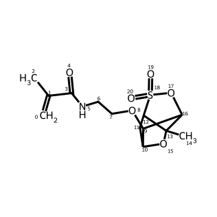 C=C(C)C(=O)NCCOC1C2CC3C(C)(O2)C1OS3(=O)=O